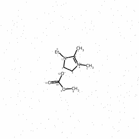 CCN1CC[N+](C)=C1C.COC(=O)[O-]